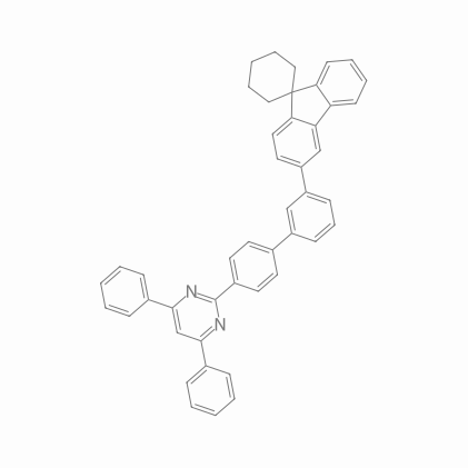 c1ccc(-c2cc(-c3ccccc3)nc(-c3ccc(-c4cccc(-c5ccc6c(c5)-c5ccccc5C65CCCCC5)c4)cc3)n2)cc1